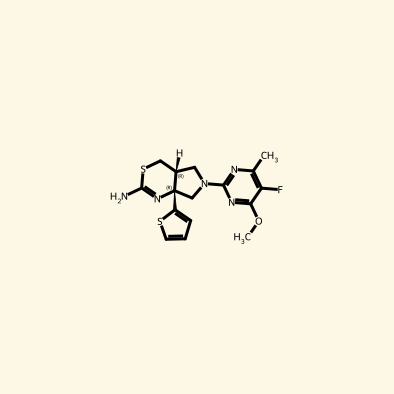 COc1nc(N2C[C@H]3CSC(N)=N[C@@]3(c3cccs3)C2)nc(C)c1F